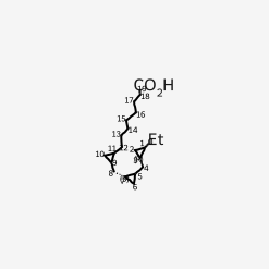 CCC1C[C@@H]1CC1C[C@@H]1CC1CC1CCCCCCCC(=O)O